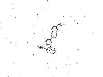 COc1ccc(-c2ccc3cc(C=N)ccc3c2)cc1C12CC3CC(CC(C3)C1)C2